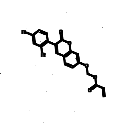 C=CC(=O)OCOc1ccc2cc(-c3ccc(CC)cc3CC)c(=O)oc2c1